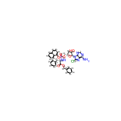 Nc1ncnc2c1nc(Cl)n2[C@@H]1O[C@H](COP(=O)(N[C@@H](Cc2ccccc2)C(=O)OCc2ccccc2)Oc2cccc3ccccc23)C[C@@H]1O